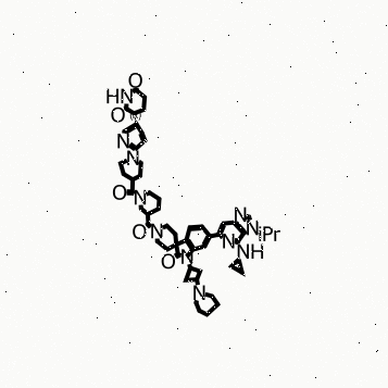 CC(C)n1cnc2cc(-c3ccc4c(c3)N(C3CC(N5CCCCC5)C3)C(=O)C43CCN(C(=O)C4CCCN(C(=O)C5CCN(c6ccc([C@H]7CCC(=O)NC7=O)cn6)CC5)C4)CC3)nc(NC3CC3)c21